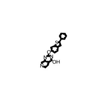 Oc1nc(Oc2ccc3cc(-c4ccccc4)sc3c2)nc2cnccc12